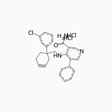 Cl.Cl.NC(=O)c1cncc(-c2ccccc2)c1NCC1(c2cccc(Cl)c2)CC#CCC1